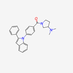 CN(C)C1CCN(C(=O)c2ccc(-n3c(-c4ccccc4)cc4ccccc43)cc2)C1